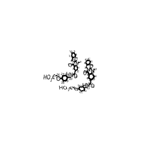 Cn1c(=O)n(Cc2ccccc2)c(=O)c2cc(C(=O)NCc3ccc(OCC(=O)O)cc3)ccc21.Cn1c(=O)n(Cc2ccccc2)c(=O)c2cc(C(=O)NCc3ccc(OCC(=O)O)cc3)ccc21